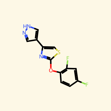 Fc1ccc(Oc2nc(-c3cn[nH]c3)cs2)c(F)c1